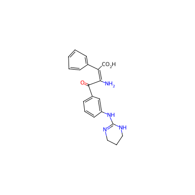 NC(C(=O)c1cccc(NC2=NCCCN2)c1)=C(C(=O)O)c1ccccc1